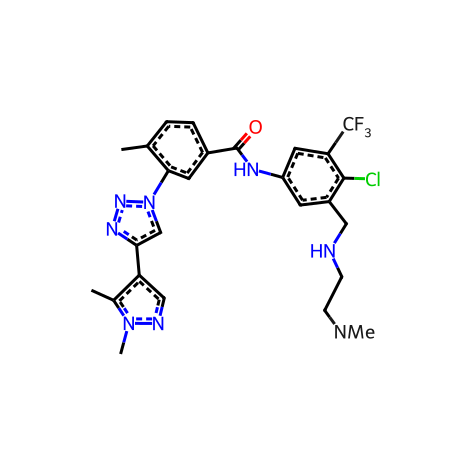 CNCCNCc1cc(NC(=O)c2ccc(C)c(-n3cc(-c4cnn(C)c4C)nn3)c2)cc(C(F)(F)F)c1Cl